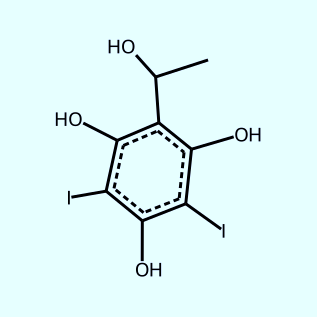 CC(O)c1c(O)c(I)c(O)c(I)c1O